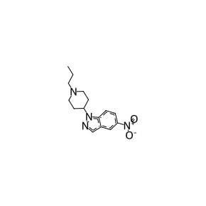 CCCN1CCC(n2ncc3cc([N+](=O)[O-])ccc32)CC1